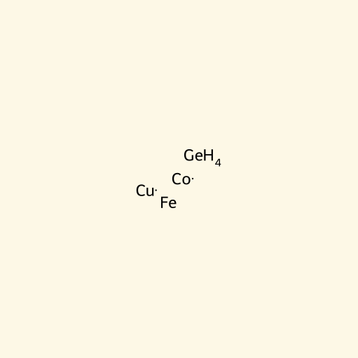 [Co].[Cu].[Fe].[GeH4]